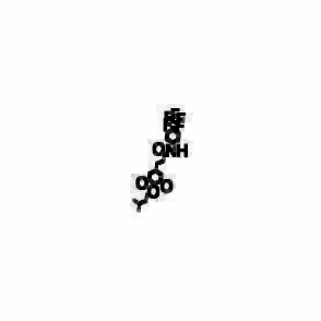 COc1cc(C=CC(=O)Nc2ccc(S(F)(F)(F)(F)F)cc2)cc(OC)c1OCC=C(C)C